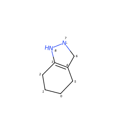 C1CCC2=C(C1)C[N]N2